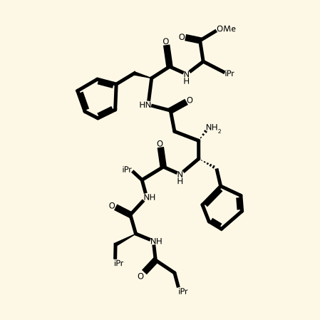 COC(=O)C(NC(=O)[C@H](Cc1ccccc1)NC(=O)C[C@H](N)[C@H](Cc1ccccc1)NC(=O)C(NC(=O)[C@H](CC(C)C)NC(=O)CC(C)C)C(C)C)C(C)C